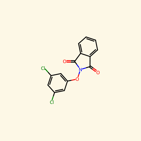 O=C1c2ccccc2C(=O)N1Oc1cc(Cl)cc(Cl)c1